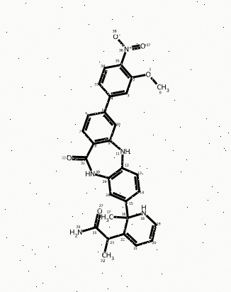 COc1cc(-c2ccc3c(c2)Nc2ccc(C4(C)NC=CC=C4C(C)C(N)=O)cc2NC3=O)ccc1[N+](=O)[O-]